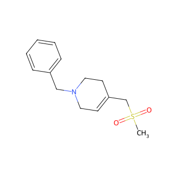 CS(=O)(=O)CC1=CCN(Cc2ccccc2)CC1